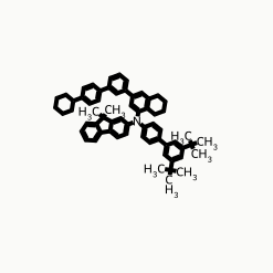 CC(C)(C)c1cc(-c2ccc(N(c3ccc4c(c3)C(C)(C)c3ccccc3-4)c3cc(-c4cccc(-c5ccc(C6CCCCC6)cc5)c4)cc4c3CCCC4)cc2)cc(C(C)(C)C)c1